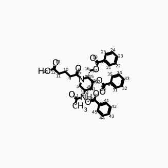 CC(=O)N[C@H]1CN(C(=O)CCCC(=O)O)[C@H](COC(=O)c2ccccc2)[C@H](OC(=O)c2ccccc2)[C@@H]1OC(=O)c1ccccc1